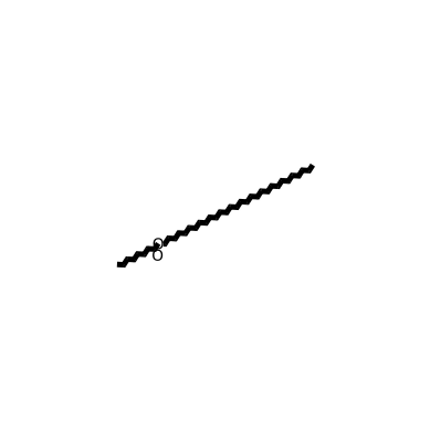 CCCCCCCCCCCCCCCCCCCCCCCCCCCCCCOC(=O)CCCCCCC